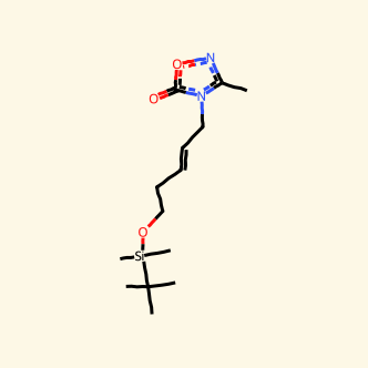 Cc1noc(=O)n1CC=CCCO[Si](C)(C)C(C)(C)C